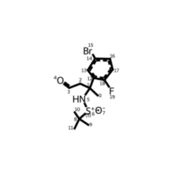 CC(CC=O)(N[S@+]([O-])C(C)(C)C)c1cc(Br)ccc1F